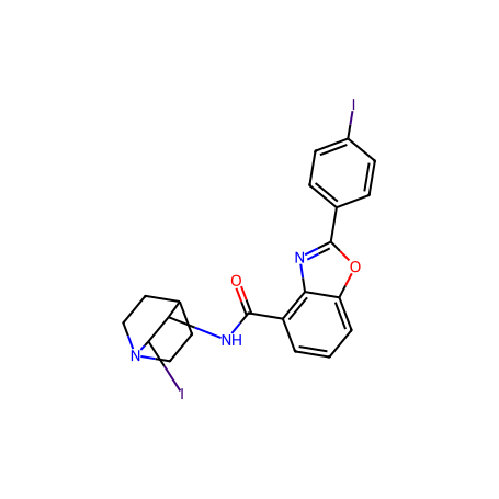 O=C(NC1C2CCN(CC2)C1I)c1cccc2oc(-c3ccc(I)cc3)nc12